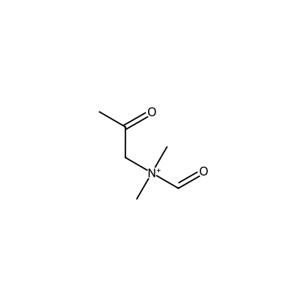 CC(=O)C[N+](C)(C)C=O